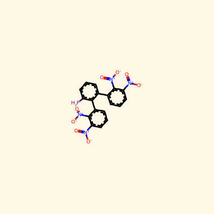 O=[N+]([O-])c1cccc(-c2cccc(P)c2-c2cccc([N+](=O)[O-])c2[N+](=O)[O-])c1[N+](=O)[O-]